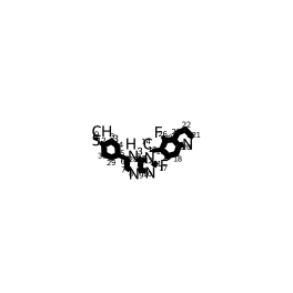 CSc1ccc(-c2cnc3ncn(C(C)c4c(F)cc5ncccc5c4F)c3n2)cc1